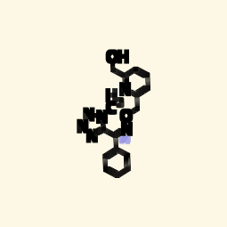 Cn1nnnc1/C(=N\OCc1cccc(CO)n1)c1ccccc1